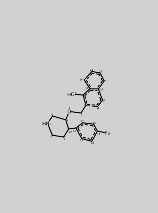 Oc1c(COC2CNCCC2c2ccc(F)cc2)ccc2ccccc12